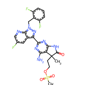 CC1(CCOS(C)(=O)=O)C(=O)Nc2nc(-c3nn(Cc4c(F)cccc4F)c4ncc(F)cc34)nc(N)c21